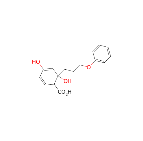 O=C(O)C1C=CC(O)=CC1(O)CCCOc1ccccc1